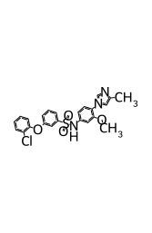 COc1cc(NS(=O)(=O)c2cccc(Oc3ccccc3Cl)c2)ccc1-n1cnc(C)c1